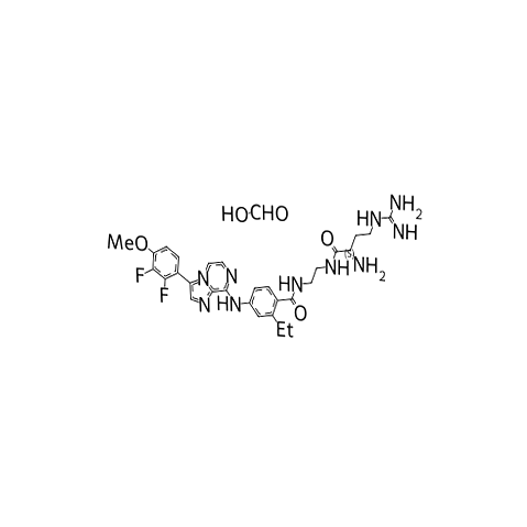 CCc1cc(Nc2nccn3c(-c4ccc(OC)c(F)c4F)cnc23)ccc1C(=O)NCCNC(=O)[C@@H](N)CCNC(=N)N.O=CO